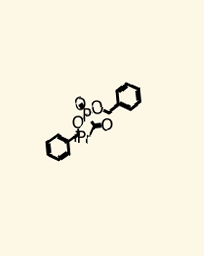 CC(C)C(=O)P(=O)(OCc1ccccc1)OCc1ccccc1